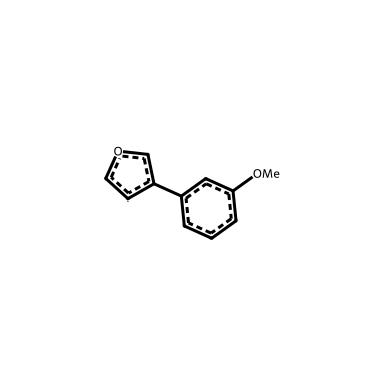 COc1cccc(-c2[c]coc2)c1